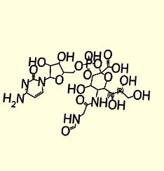 Nc1ccn(C2OC(COP(=O)(O)OC3(C(=O)O)CC(O)C(NC(=O)CNC=O)C([C@H](O)[C@H](O)CO)O3)C(O)C2O)c(=O)n1